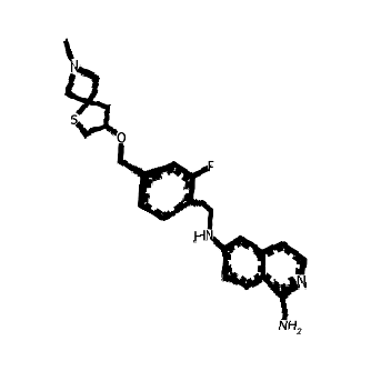 CN1CC2(CC(OCc3ccc(CNc4ccc5c(N)nccc5c4)c(F)c3)CS2)C1